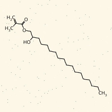 C=C(C)C(=O)OCC(O)CCCCCCCCCCCCCCCC